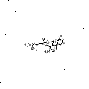 Cc1cncc(NC(=N)/C(=C\NC(C)CCCCC(C)N)C(N)=O)c1